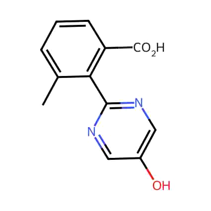 Cc1cccc(C(=O)O)c1-c1ncc(O)cn1